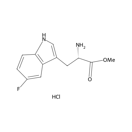 COC(=O)[C@@H](N)Cc1c[nH]c2ccc(F)cc12.Cl